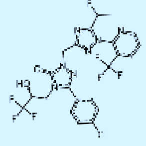 CC(F)c1nc(Cn2nc(-c3ccc(Cl)cc3)n(C[C@H](O)C(F)(F)F)c2=O)nn1-c1ncccc1C(F)(F)F